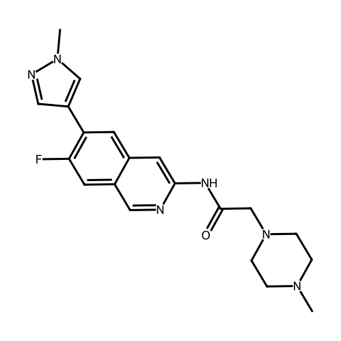 CN1CCN(CC(=O)Nc2cc3cc(-c4cnn(C)c4)c(F)cc3cn2)CC1